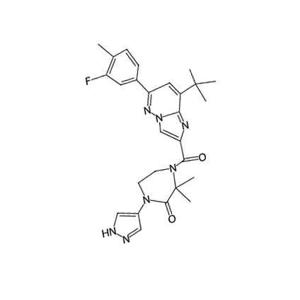 Cc1ccc(-c2cc(C(C)(C)C)c3nc(C(=O)N4CCN(c5cn[nH]c5)C(=O)C4(C)C)cn3n2)cc1F